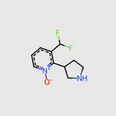 [O-][n+]1cccc(C(F)F)c1C1CCNC1